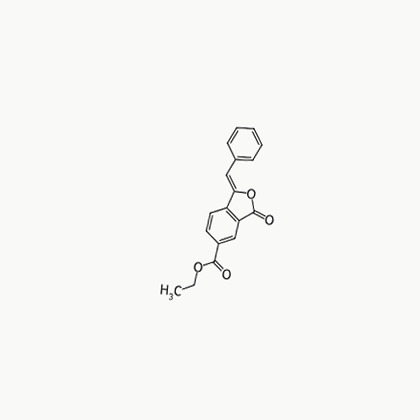 CCOC(=O)c1ccc2c(c1)C(=O)OC2=Cc1ccccc1